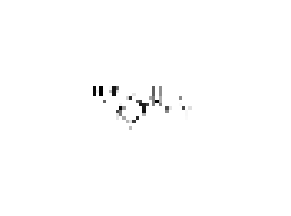 Nc1cc(NCCF)ccn1